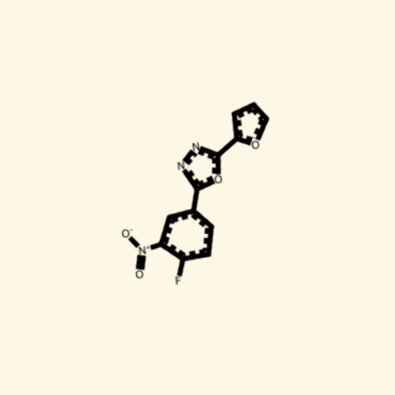 O=[N+]([O-])c1cc(-c2nnc(-c3ccco3)o2)ccc1F